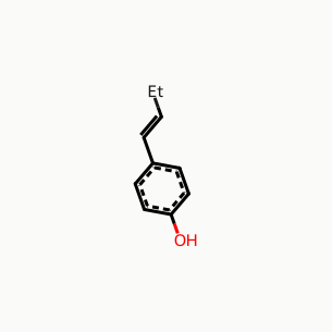 [CH2]CC=Cc1ccc(O)cc1